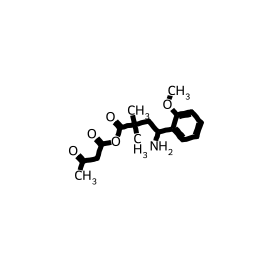 COc1ccccc1C(N)CC(C)(C)C(=O)OC(=O)CC(C)=O